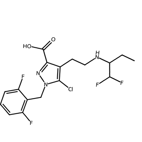 CCC(NCCc1c(C(=O)O)nn(Cc2c(F)cccc2F)c1Cl)C(F)F